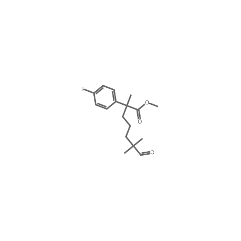 COC(=O)C(C)(CCCC(C)(C)C=O)c1ccc(I)cc1